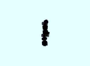 CC(C)(C)OC(=O)N1CCC(c2ccc(NC(=O)C3CN(c4ccnnc4)C3)c(F)c2)CC1